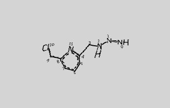 N=NNCc1cccc(CCl)n1